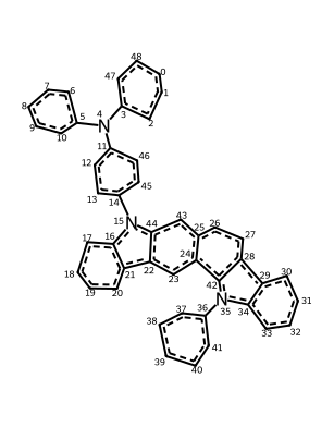 c1ccc(N(c2ccccc2)c2ccc(-n3c4ccccc4c4cc5c(ccc6c7ccccc7n(-c7ccccc7)c56)cc43)cc2)cc1